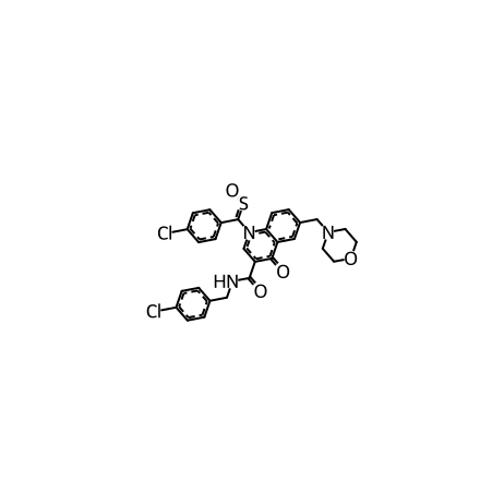 O=S=C(c1ccc(Cl)cc1)n1cc(C(=O)NCc2ccc(Cl)cc2)c(=O)c2cc(CN3CCOCC3)ccc21